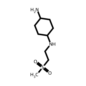 CS(=O)(=O)CCNC1CCC(N)CC1